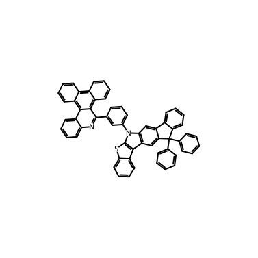 c1ccc(C2(c3ccccc3)c3ccccc3-c3cc4c(cc32)c2c3ccccc3sc2n4-c2cccc(-c3nc4ccccc4c4c5ccccc5c5ccccc5c34)c2)cc1